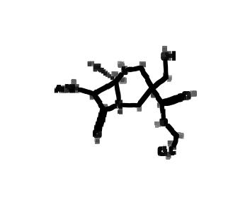 CC(=O)NC1C(=O)N2CC(CO)(C(=O)OCC(Cl)(Cl)Cl)CS[C@H]12